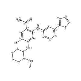 CNC1CCCCC1Nc1nc(Nc2cccc(-c3nccs3)c2)c(C(N)=O)cc1F